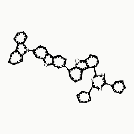 c1ccc(-c2nc(-c3ccccc3)nc(-c3cccc4oc5c(-c6ccc7c(c6)oc6cc(-n8c9ccccc9c9ccccc98)ccc67)cccc5c34)n2)cc1